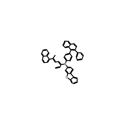 C=C/C(=C\C=C(/C)c1cccc2ccccc12)N(c1ccc(-c2c(-c3ccccc3)ccc3ccccc23)cc1)c1ccc2c(c1)oc1ccccc12